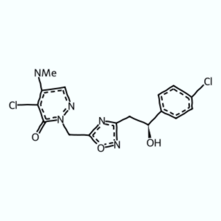 CNc1cnn(Cc2nc(C[C@H](O)c3ccc(Cl)cc3)no2)c(=O)c1Cl